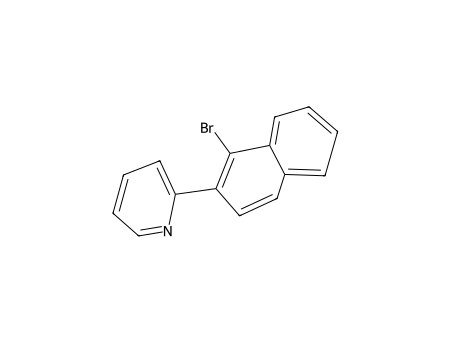 Brc1c(-c2ccccn2)ccc2ccccc12